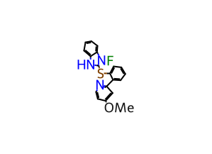 COc1ccnc(-c2cccc(F)c2Sc2nc3ccccc3[nH]2)c1